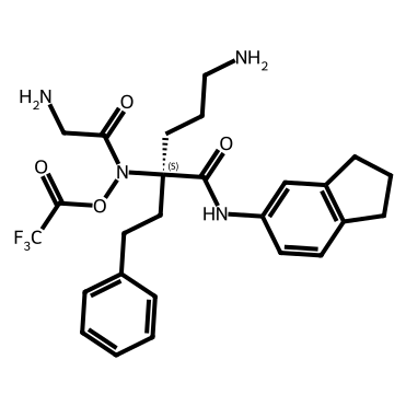 NCCC[C@@](CCc1ccccc1)(C(=O)Nc1ccc2c(c1)CCC2)N(OC(=O)C(F)(F)F)C(=O)CN